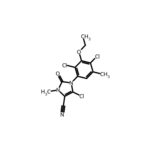 CCOc1c(Cl)c(C)cc(-n2c(Cl)c(C#N)n(C)c2=O)c1Cl